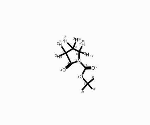 [2H]C1([2H])C(=O)N(C(=O)OC(C)(C)C)C([2H])([2H])C1([2H])[2H]